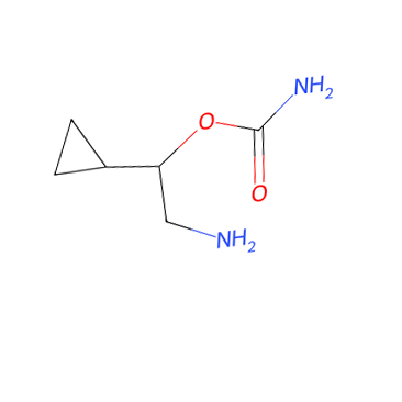 NCC(OC(N)=O)C1CC1